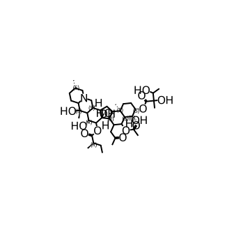 CC[C@@H](C)C(=O)OC1[C@H](O)C2[C@@H](CN3C[C@@H](C)CCC3[C@@]2(C)O)C2CC3(O)[C@@H](C(CC(C)=O)C(OC(C)=O)[C@@H]4[C@@H](O)[C@@H](OC(=O)C(C)(O)C(C)O)CC[C@@]43C)C12O